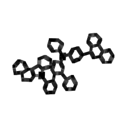 c1ccc(-c2cc(N(c3ccccc3)c3ccc(-c4cc5ccccc5c5ccccc45)cc3)ccc2-c2ccccc2-n2c3ccccc3c3c4ccccc4ccc32)cc1